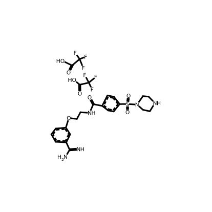 N=C(N)c1cccc(OCCNC(=O)c2ccc(S(=O)(=O)N3CCNCC3)cc2)c1.O=C(O)C(F)(F)F.O=C(O)C(F)(F)F